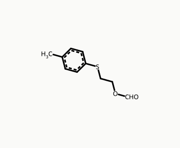 Cc1ccc(SCCOC=O)cc1